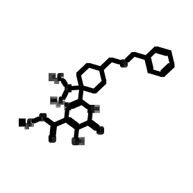 COC(=O)c1nc(C2(N(C)C)CCC(COCc3ccccc3)CC2)[nH]c(=O)c1O